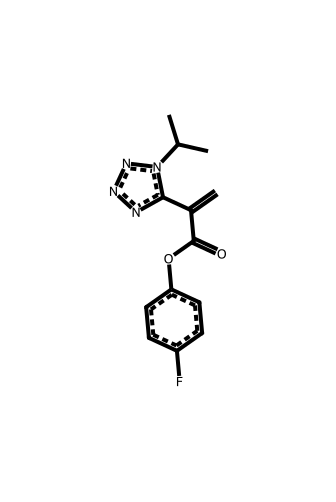 C=C(C(=O)Oc1ccc(F)cc1)c1nnnn1C(C)C